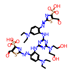 CCN(CC)c1ccc(/N=N/c2nc(S(=O)(=O)O)c(C=O)s2)c(Nc2nc(Nc3cc(N(CC)CC)ccc3/N=N/c3nc(S(=O)(=O)O)c(C=O)s3)nc(N(CCO)CCO)n2)c1